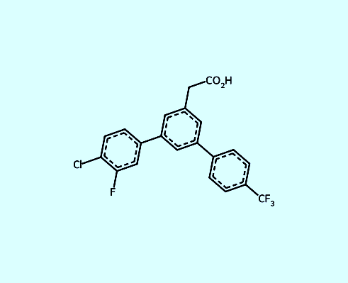 O=C(O)Cc1cc(-c2ccc(C(F)(F)F)cc2)cc(-c2ccc(Cl)c(F)c2)c1